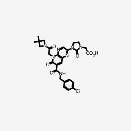 CC1(C)CN(C(=O)Cn2c(=O)c(C(=O)NCc3ccc(Cl)cc3)cc3nc(N4CCN(CC(=O)O)C4=O)cnc32)C1